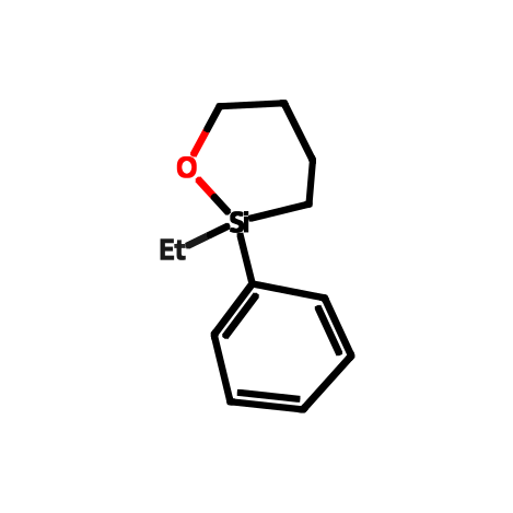 CC[Si]1(c2ccccc2)CCCCO1